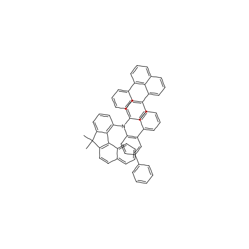 CC1(C)c2cccc(N(c3ccc(-c4cccc5cccc(-c6ccccc6)c45)cc3)c3ccc(-c4ccccc4)cc3-c3ccccc3)c2-c2c1ccc1ccccc21